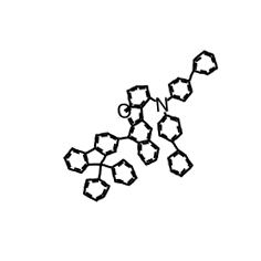 c1ccc(-c2ccc(N(c3ccc(-c4ccccc4)cc3)c3cccc4oc5c(-c6ccc7c(c6)C(c6ccccc6)(c6ccccc6)c6ccccc6-7)c6ccccc6cc5c34)cc2)cc1